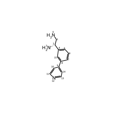 NC[C@@H](N)c1cccc(-c2ccncc2)c1